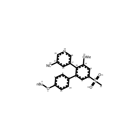 CCCCOc1ccc(-c2cc(S(C)(=O)=O)cc(OC)c2-c2cncc(C#N)c2)cc1